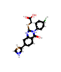 O=C(O)CSc1nc2cc(-c3cncs3)ccc2c(=O)n1-c1ccc(F)cc1